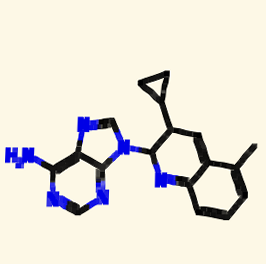 Cc1cccc2c1=CC(C1CC1)C(n1cnc3c(N)ncnc31)N=2